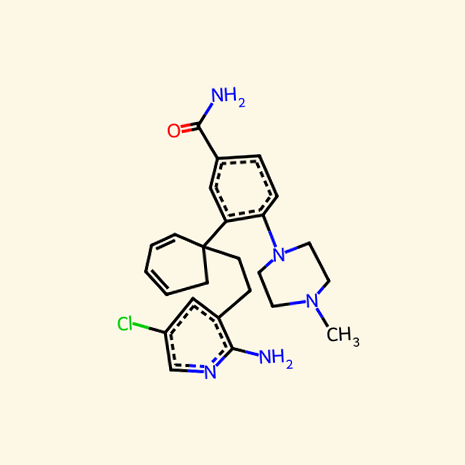 CN1CCN(c2ccc(C(N)=O)cc2C2(CCc3cc(Cl)cnc3N)C=CC=CC2)CC1